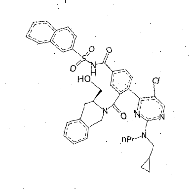 CCCN(CC1CC1)c1ncc(Cl)c(-c2ccc(C(=O)NS(=O)(=O)c3ccc4ccccc4c3)cc2C(=O)N2Cc3ccccc3C[C@H]2CO)n1